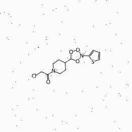 O=C(CCl)N1CCC(C2OON(c3cccs3)O2)CC1